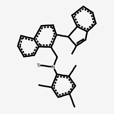 CC1=Cc2ccccc2C1c1ccc2ccccc2c1C[N]([Ti])c1c(C)cc(C)cc1C